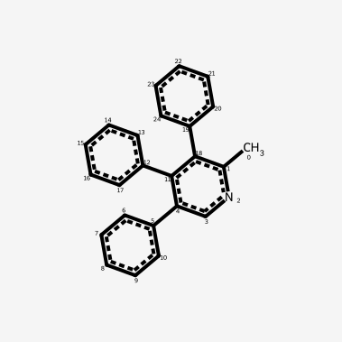 Cc1ncc(-c2ccccc2)c(-c2ccccc2)c1-c1ccccc1